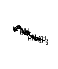 CN(C)c1ccc(NC(=O)CCCn2ccc3cc(C(=O)NN=Cc4cccc(-n5cccn5)c4)ccc32)cc1